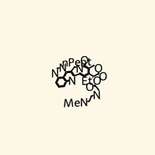 CCCCCN1C=Nc2cccc3nc4c(c1c23)Cn1c-4cc2c(c1=O)COC(=O)[C@@]2(CC)OC(=O)CN(C)CCNC